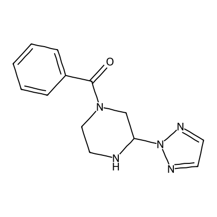 O=C(c1ccccc1)N1CCNC(n2nccn2)C1